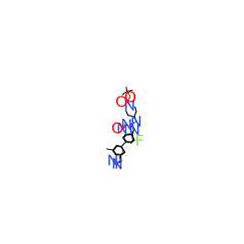 Cc1cc(-c2cc(F)c3nc(N(C)C4CCN(C(=O)OC(C)(C)C)CC4)n[n+]([O-])c3c2)cc2cn(C)nc12